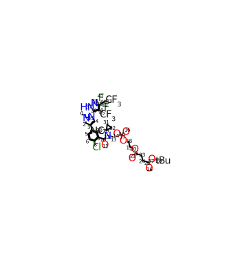 CN1CC(c2ccc(Cl)c(C(=O)N(COC(=O)OCCOC(=O)CCC(=O)OC(C)(C)C)C3(C#N)CC3)c2)=CN1c1[nH]nc(C(F)(F)C(F)(F)F)c1C(F)(F)F